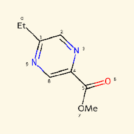 CCc1cnc(C(=O)OC)cn1